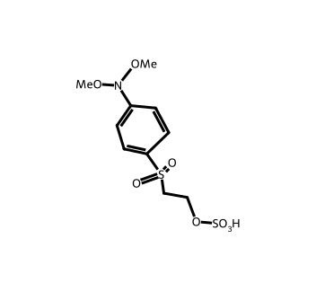 CON(OC)c1ccc(S(=O)(=O)CCOS(=O)(=O)O)cc1